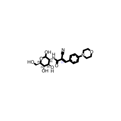 N#C/C(=C\c1ccc(N2CCOCC2)cc1)C(=O)N[C@H]1C(O)O[C@H](CO)[C@@H](O)[C@@H]1O